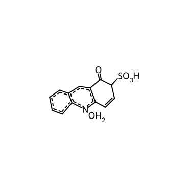 O.O=C1c2cc3ccccc3nc2C=CC1S(=O)(=O)O